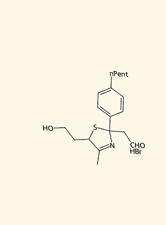 Br.CCCCCc1ccc(C2(CC=O)N=C(C)C(CCO)S2)cc1